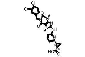 Cn1c(Nc2cccc([C@H]3C[C@@H]3C(=O)O)n2)nc2c1c(=O)n(Cc1ccc(Cl)c(Cl)c1)c(=O)n2C